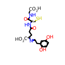 O=C(O)CNC(=O)[C@H](CS)NC(=O)CC[C@H](N=CCc1cc(O)ccc1O)C(=O)O